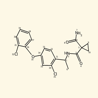 CC(NC(=O)C1(C(N)=O)CC1)c1ccc(Oc2ccccc2Cl)cc1Cl